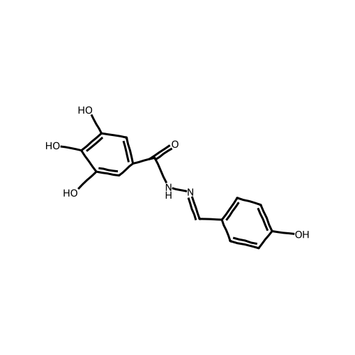 O=C(N/N=C/c1ccc(O)cc1)c1cc(O)c(O)c(O)c1